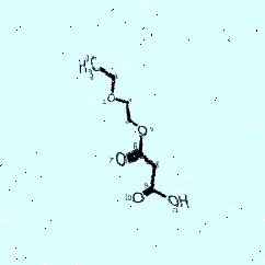 CCOCCOC(=O)CC(=O)O